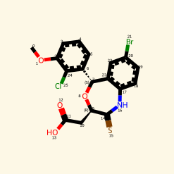 COc1cccc([C@H]2O[C@H](CC(=O)O)C(=S)Nc3ccc(Br)cc32)c1Cl